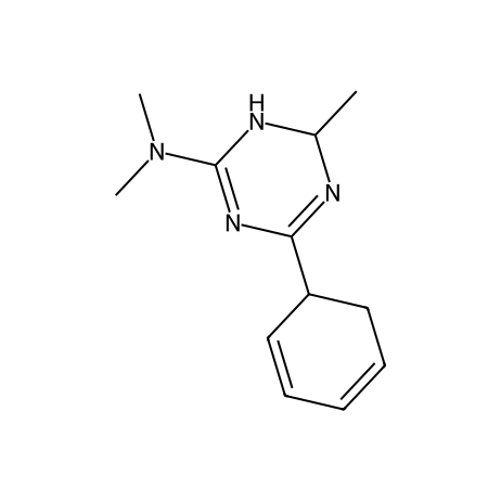 CC1N=C(C2C=CC=CC2)N=C(N(C)C)N1